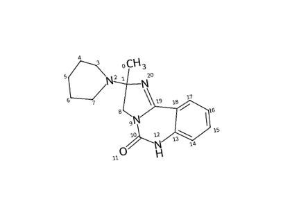 CC1(N2CCCCC2)CN2C(=O)Nc3ccccc3C2=N1